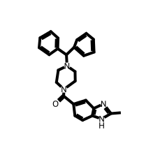 Cc1nc2cc(C(=O)N3CCN(C(c4ccccc4)c4ccccc4)CC3)ccc2[nH]1